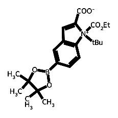 CCOC(=O)[N+]1(C(C)(C)C)C(C(=O)[O-])=Cc2cc(B3OC(C)(C)C(C)(C)O3)ccc21